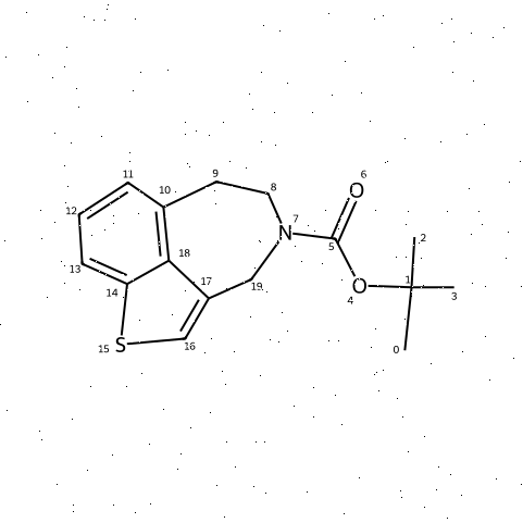 CC(C)(C)OC(=O)N1CCc2cccc3scc(c23)C1